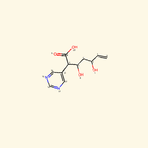 C=CC(O)CC(O)C(C(=O)O)c1cncnc1